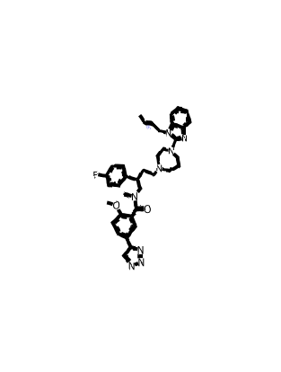 C/C=C/Cn1c(N2CCCN(CCC(CN(C)C(=O)c3cc(C4C=NN=N4)ccc3OC)c3ccc(F)cc3)CC2)nc2ccccc21